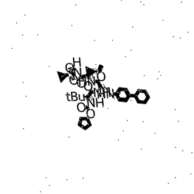 C=C[C@@H]1C[C@]1(NC(=O)[C@H](CNc1ccc(C2CCCCC2)cc1)NC(=O)[C@@H](NC(=O)OC1CCCC1)C(C)(C)C)C(=O)NS(=O)(=O)C1CC1